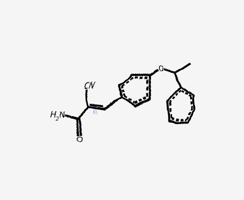 CC(Oc1ccc(/C=C(\C#N)C(N)=O)cc1)c1ccccc1